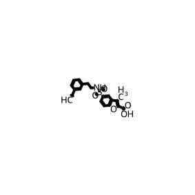 C#Cc1cccc(CCNS(=O)(=O)c2ccc3oc(C(=O)O)c(C)c3c2)c1